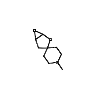 CN1CCC2(CC1)CC1OC1O2